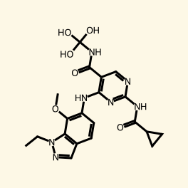 CCn1ncc2ccc(Nc3nc(NC(=O)C4CC4)ncc3C(=O)NC(O)(O)O)c(OC)c21